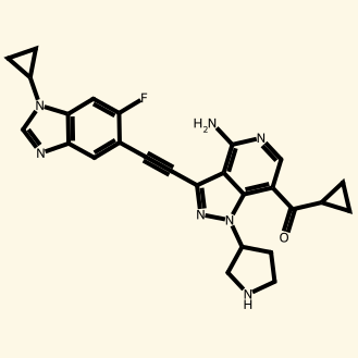 Nc1ncc(C(=O)C2CC2)c2c1c(C#Cc1cc3ncn(C4CC4)c3cc1F)nn2C1CCNC1